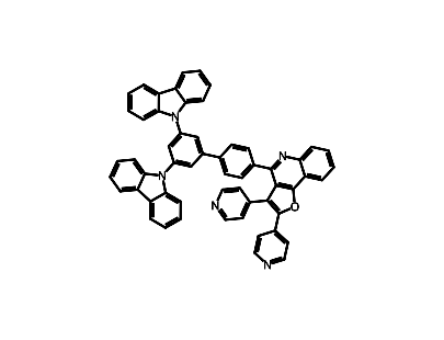 c1ccc2c(c1)nc(-c1ccc(-c3cc(-n4c5ccccc5c5ccccc54)cc(-n4c5ccccc5c5ccccc54)c3)cc1)c1c(-c3ccncc3)c(-c3ccncc3)oc12